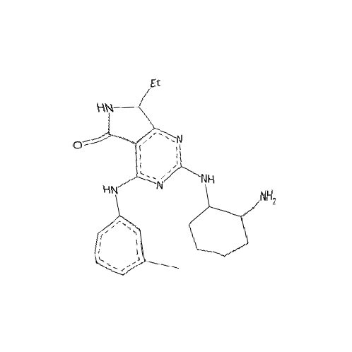 CCC1NC(=O)c2c(Nc3cccc(C)c3)nc(NC3CCCCC3N)nc21